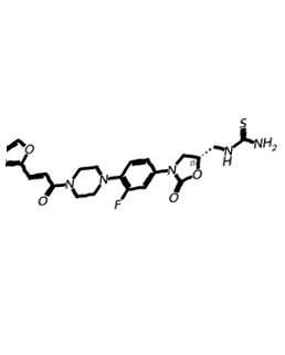 NC(=S)NC[C@H]1CN(c2ccc(N3CCN(C(=O)C=Cc4ccco4)CC3)c(F)c2)C(=O)O1